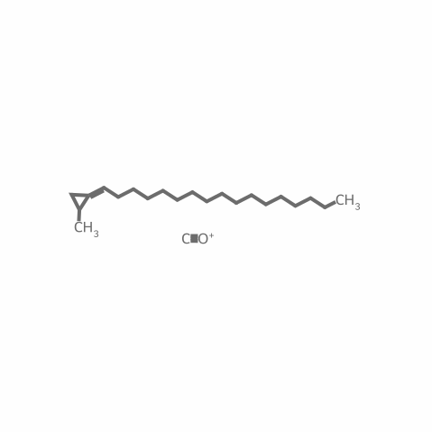 CCCCCCCCCCCCCCCCC=C1CC1C.[C-]#[O+]